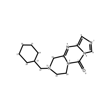 O=c1n2c(nc3cncn13)CN(CC1CCCCC1)CC2